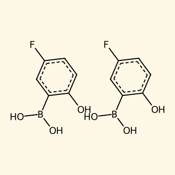 OB(O)c1cc(F)ccc1O.OB(O)c1cc(F)ccc1O